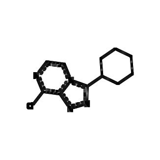 Clc1nccn2c(C3CCCCC3)nnc12